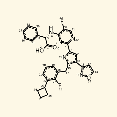 O=C(O)[C@@H](Nc1nc(-c2cc(-c3ccon3)n(Cc3cccc(C4CCC4)c3F)n2)ncc1F)c1ccccc1